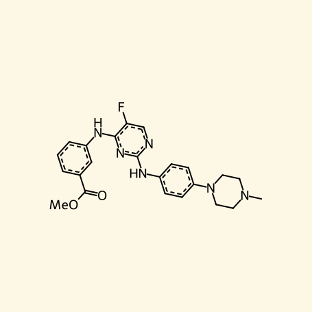 COC(=O)c1cccc(Nc2nc(Nc3ccc(N4CCN(C)CC4)cc3)ncc2F)c1